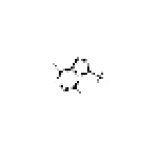 [2H]C([2H])([2H])c1ncc2c(Cl)ncc(C)n12